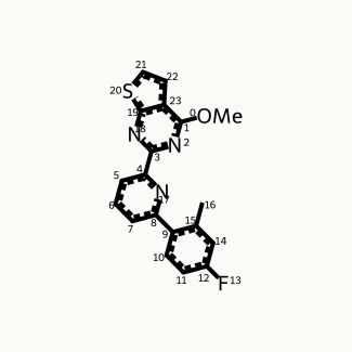 COc1nc(-c2cccc(-c3ccc(F)cc3C)n2)nc2sccc12